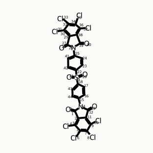 O=C1c2c(Cl)c(Cl)c(Cl)c(Cl)c2C(=O)N1c1ccc(S(=O)(=O)c2ccc(N3C(=O)c4c(Cl)c(Cl)c(Cl)c(Cl)c4C3=O)cc2)cc1